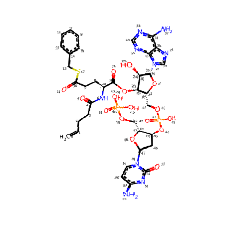 C=CCCC(=O)N[C@@H](CCC(=O)SCc1ccccc1)C(=O)O[C@H]1[C@@H](O)[C@H](n2cnc3c(N)ncnc32)O[C@@H]1COP(=O)(O)O[C@H]1CC(n2ccc(N)nc2=O)O[C@@H]1COP(=O)(O)O